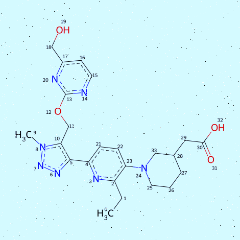 CCc1nc(-c2nnn(C)c2COc2nccc(CO)n2)ccc1N1CCCC(CC(=O)O)C1